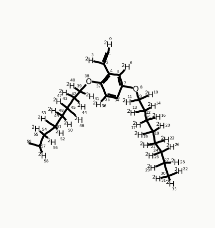 [2H][C]=C([2H])c1c([2H])c(OC([2H])([2H])C([2H])([2H])C([2H])([2H])C([2H])([2H])C([2H])([2H])C([2H])([2H])C([2H])([2H])C([2H])([2H])[2H])[c]c([2H])c1OC([2H])([2H])C([2H])([2H])C([2H])([2H])C([2H])([2H])C([2H])([2H])C([2H])([2H])C([2H])C